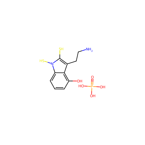 NCCc1c(S)n(S)c2cccc(O)c12.O=P(O)(O)O